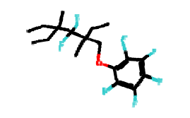 CCC(C)(CC)C(F)(F)C(C)(CC)COc1c(F)c(F)c(F)c(F)c1F